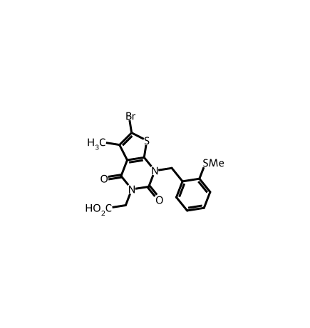 CSc1ccccc1Cn1c(=O)n(CC(=O)O)c(=O)c2c(C)c(Br)sc21